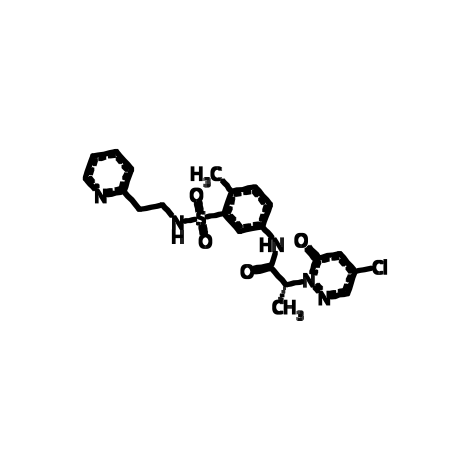 Cc1ccc(NC(=O)[C@@H](C)n2ncc(Cl)cc2=O)cc1S(=O)(=O)NCCc1ccccn1